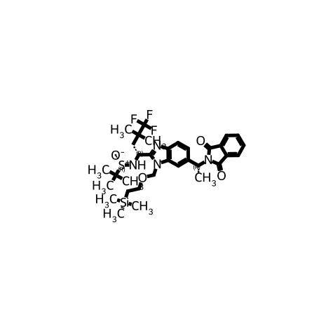 C[C@H](c1ccc2nc([C@@H](CC(C)(C)C(F)(F)F)N[S@@+]([O-])C(C)(C)C)n(COCC[Si](C)(C)C)c2c1)N1C(=O)c2ccccc2C1=O